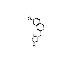 COc1ccc2c(c1)C=C(CC1CNC=N1)CC2